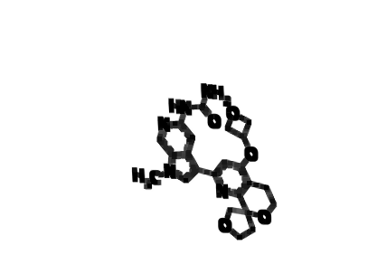 Cn1cc(-c2cc(OC3COC3)c3c(n2)C2(CCOC2)OCC3)c2cc(NC(N)=O)ncc21